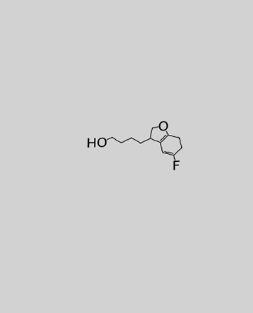 OCCCCC1COC2=C1C=C(F)CC2